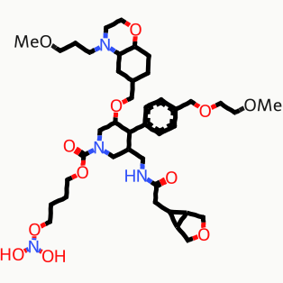 COCCCN1CCOC2CCC(COC3CN(C(=O)OCCCCON(O)O)CC(CNC(=O)CC4C5COCC54)C3c3ccc(COCCOC)cc3)CC21